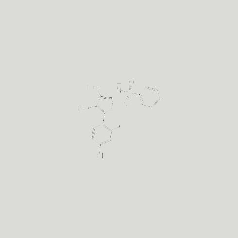 O=S(=O)(Nc1oc(-c2ccc(Cl)cc2Cl)c(O)c1O)c1ccccc1